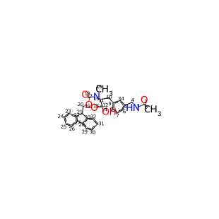 CC(=O)NCc1cccc(C[C@@H](C(=O)O)N(C)C(=O)OCC2c3ccccc3-c3ccccc32)c1